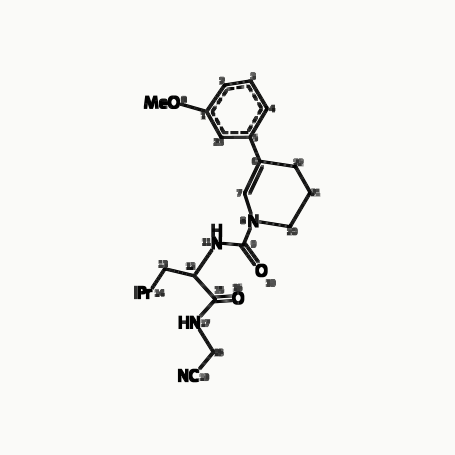 COc1cccc(C2=CN(C(=O)NC(CC(C)C)C(=O)NCC#N)CCC2)c1